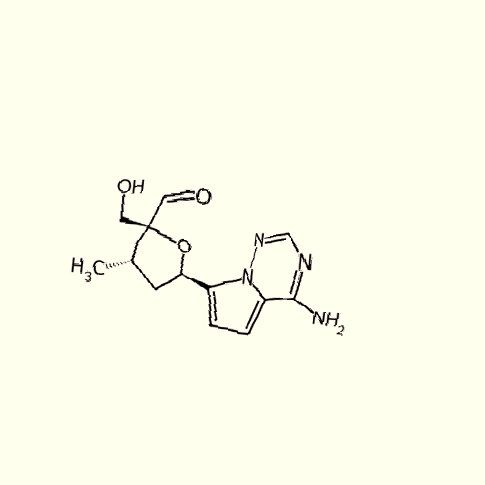 C[C@H]1C[C@H](c2ccc3c(N)ncnn23)O[C@]1(C=O)CO